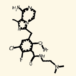 Cc1nc(Cc2cc(Cl)c(F)c(C(=O)NCCN(C)C)c2OC(C)C)n2ccnc(N)c12